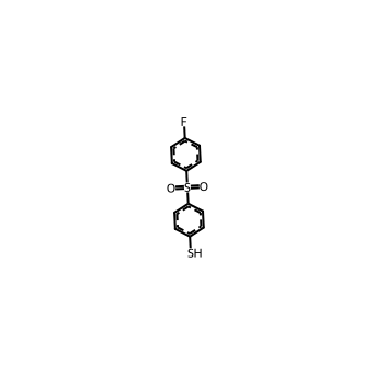 O=S(=O)(c1ccc(F)cc1)c1ccc(S)cc1